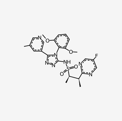 COc1cccc(OC)c1-n1c(NS(=O)(=O)[C@H](C)[C@H](C)c2ncc(F)cn2)nnc1-c1cncc(C)c1